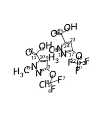 Cn1nc(OC(F)(F)Cl)cc1C(=O)O.Cn1nc(OC(F)(F)F)cc1C(=O)O